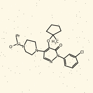 CC(C)[S+]([O-])N1CCN(c2cnn(-c3cccc(Cl)c3)c(=O)c2OC2(C)CCCC2)CC1